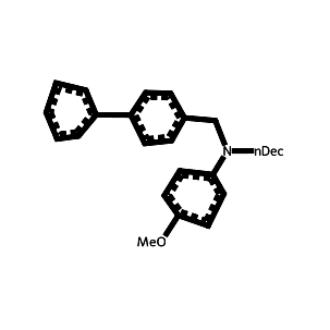 CCCCCCCCCCN(Cc1ccc(-c2ccccc2)cc1)c1ccc(OC)cc1